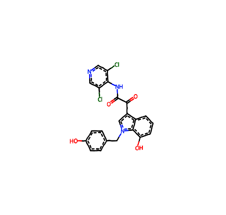 O=C(Nc1c(Cl)cncc1Cl)C(=O)c1cn(Cc2ccc(O)cc2)c2c(O)cccc12